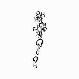 FC(F)c1nn(C2CCN(CCOCC3CCNCC3)CC2)cc1N1CC=C2N=C(N3C[C@H]4C[C@@H]3CO4)C=CN21